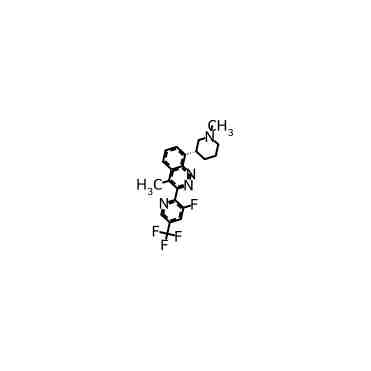 Cc1c(-c2ncc(C(F)(F)F)cc2F)nnc2c([C@H]3CCCN(C)C3)cccc12